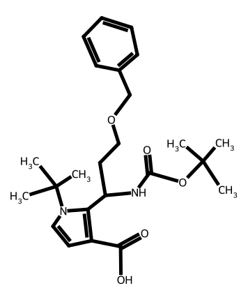 CC(C)(C)OC(=O)NC(CCOCc1ccccc1)c1c(C(=O)O)ccn1C(C)(C)C